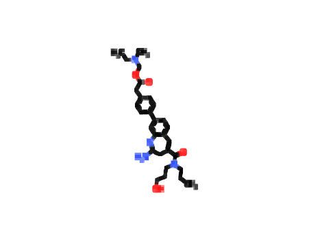 CCCN(CCCO)C(=O)C1=Cc2ccc(-c3ccc(CC(=O)OCN(C)CC)cc3)cc2N=C(N)C1